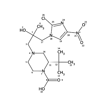 CC(O)(CN1CCN(C(=O)O)[C@@H](C(C)(C)C)C1)Cn1cc([N+](=O)[O-])nc1Cl